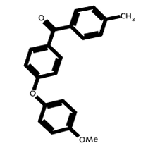 COc1ccc(Oc2ccc(C(=O)c3ccc(C)cc3)cc2)cc1